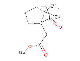 CC(C)(C)OC(=O)CC12CCC(CC1=O)C2(C)C